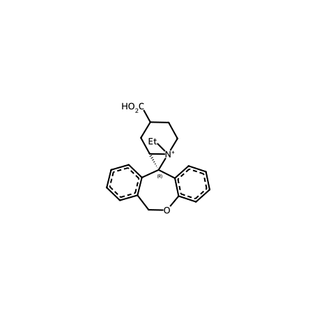 CC[N+]12CCC(C(=O)O)CC1[C@]21c2ccccc2COc2ccccc21